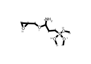 CO[Si](CCC(N)OCC1CO1)(OC)OC